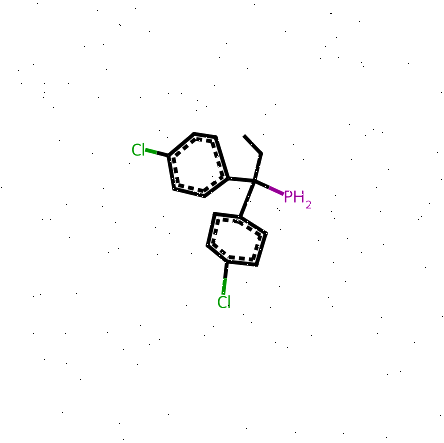 CCC(P)(c1ccc(Cl)cc1)c1ccc(Cl)cc1